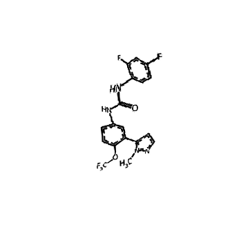 Cn1nccc1-c1cc(NC(=O)Nc2ccc(F)cc2F)ccc1OC(F)(F)F